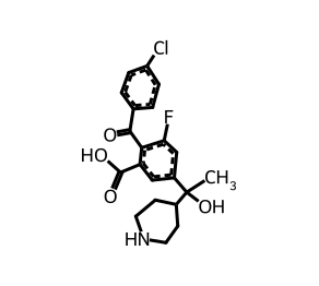 CC(O)(c1cc(F)c(C(=O)c2ccc(Cl)cc2)c(C(=O)O)c1)C1CCNCC1